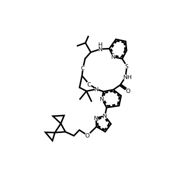 CC(C)C1CCC2CN(c3nc(-n4ccc(OCCC5C6(CC6)C56CC6)n4)ccc3C(=O)NSc3cccc(n3)N1)C(C)(C)C2